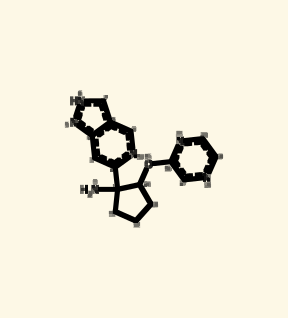 NC1(c2cc3n[nH]cc3cn2)CCCC1Oc1cnccn1